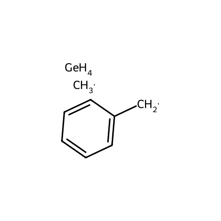 [CH2]c1ccccc1.[CH3].[GeH4]